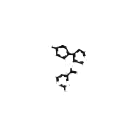 O=C(Nc1cnccc1-c1ccc(F)cc1)c1ccnc(Cl)n1